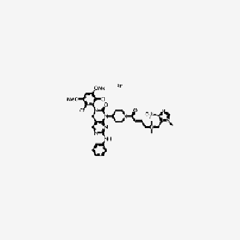 COc1cc(OC)c(Cl)c(N2Cc3cnc(Nc4ccccc4)nc3N(C3CCN(C(=O)/C=C/C[N+](C)(C)Cc4c([N+](=O)[O-])ncn4C)CC3)C2=O)c1Cl.[Br-]